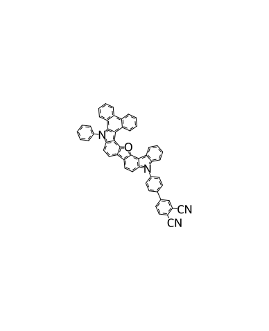 N#Cc1ccc(-c2ccc(-n3c4ccccc4c4c5oc6c(ccc7c6c6c8ccccc8c8ccccc8c6n7-c6ccccc6)c5ccc43)cc2)cc1C#N